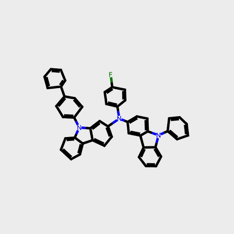 Fc1ccc(N(c2ccc3c(c2)c2ccccc2n3-c2ccccc2)c2ccc3c4ccccc4n(-c4ccc(-c5ccccc5)cc4)c3c2)cc1